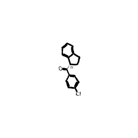 O=C(c1ccc(Cl)cc1)[C@H]1CCc2ccccc21